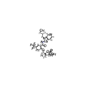 CCCCn1/c(=N/C(=O)c2cc(C(F)(F)F)ccc2OC[C@H](C)OP(=O)(O)O)sc2ccncc21